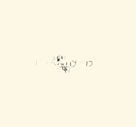 CC(C)(C)OC(=O)NC(CC(=O)O)Cn1nnc(-c2ccc(OCCc3ccccc3)c(F)c2)n1